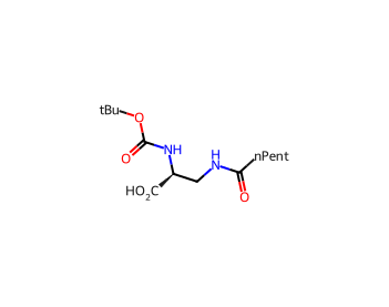 CCCCCC(=O)NC[C@H](NC(=O)OC(C)(C)C)C(=O)O